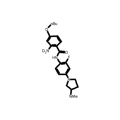 CCCCOc1ccc(C(=O)Nc2ccc(N3CCC(NC)C3)cc2F)c([N+](=O)[O-])c1